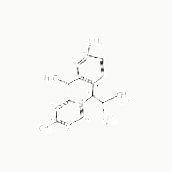 CCc1cc(C)ccc1C(c1ccc(Cl)cc1)C(C)C